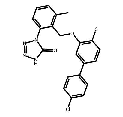 Cc1cccc(-n2nn[nH]c2=O)c1COc1cc(-c2ccc(Cl)cc2)ccc1Cl